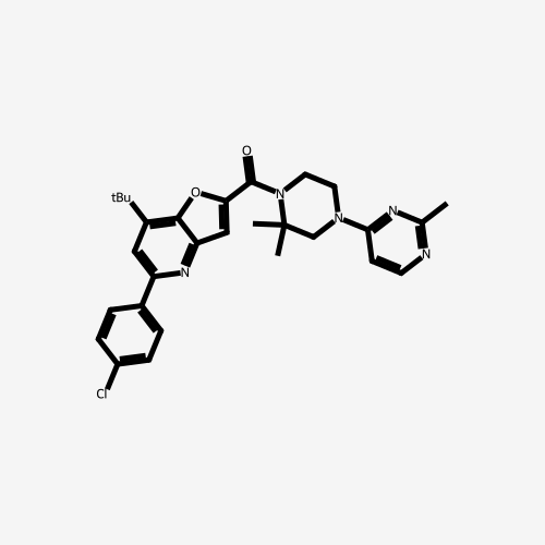 Cc1nccc(N2CCN(C(=O)c3cc4nc(-c5ccc(Cl)cc5)cc(C(C)(C)C)c4o3)C(C)(C)C2)n1